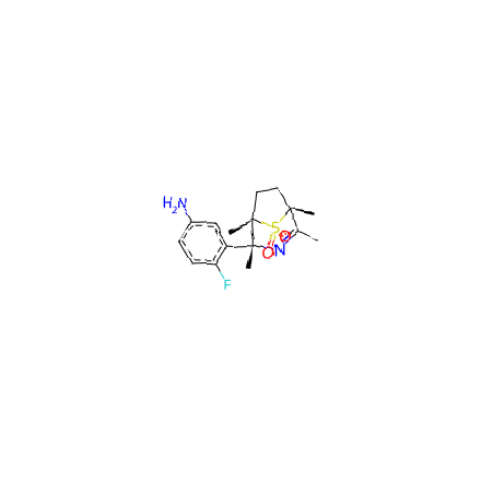 CC1=N[C@](C)(c2cc(N)ccc2F)[C@]2(C)CC[C@@]1(C)S2(=O)=O